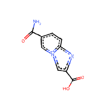 NC(=O)c1ccc2nc(C(=O)O)cn2c1